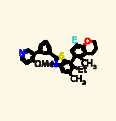 CCc1c(C)cc2nc(-c3cccc(-c4cnccc4OC)c3)sc2c1-c1cc(F)c2c(c1C)CCCO2